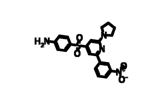 Nc1ccc(S(=O)(=O)c2cc(-c3cccc([N+](=O)[O-])c3)nc(N3CCCC3)c2)cc1